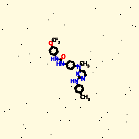 Cc1ccc(Nc2nccc(N(C)c3ccc(NC(=O)Nc4ccc(OC(F)(F)F)cc4)cc3)n2)cc1